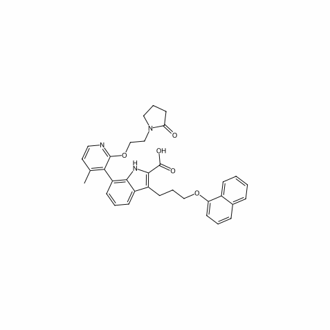 Cc1ccnc(OCCN2CCCC2=O)c1-c1cccc2c(CCCOc3cccc4ccccc34)c(C(=O)O)[nH]c12